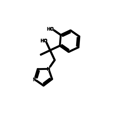 CC(O)(Cn1ccnc1)c1ccccc1O